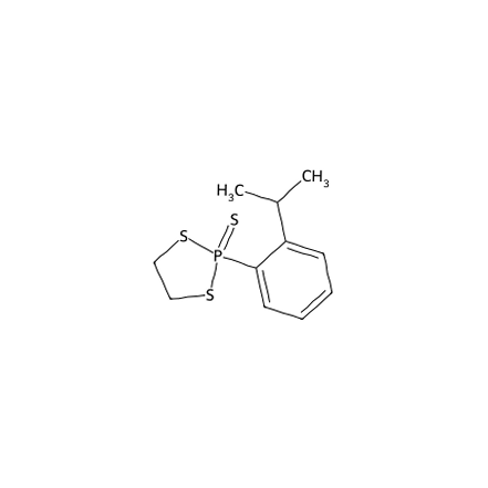 CC(C)c1ccccc1P1(=S)SCCS1